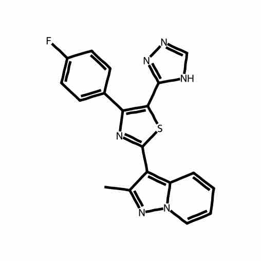 Cc1nn2ccccc2c1-c1nc(-c2ccc(F)cc2)c(-c2nnc[nH]2)s1